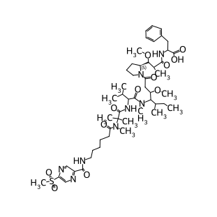 CCC(C)C(C(CC(=O)N1CCC[C@H]1C(OC)C(C)C(=O)NC(Cc1ccccc1)C(=O)O)OC)N(C)C(=O)C(NC(=O)C(C)(C)N(C)C(=O)CCCCCNC(=O)c1cnc(S(C)(=O)=O)cn1)C(C)C